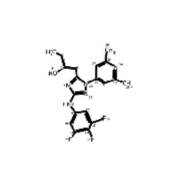 CC[C@H](O)Cc1nc(Nc2cc(F)c(F)c(F)c2)nn1-c1cc(C)nc(C)c1